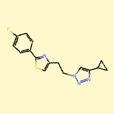 Fc1ccc(-c2nc(CCn3cc(C4CC4)nn3)cs2)cc1